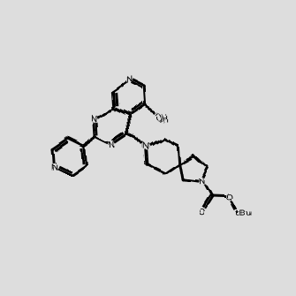 CC(C)(C)OC(=O)N1CCC2(CCN(c3nc(-c4ccncc4)nc4cncc(O)c34)CC2)C1